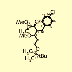 CO[C@H](CCO[Si](C)(C)C(C)(C)C)[C@H](Cc1ccc(Cl)cc1)C(=O)N(C)OC